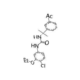 CCOc1cc(NC(=O)NC(C)(C)c2cccc(C(C)=O)c2)ccc1Cl